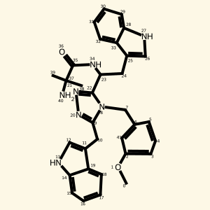 COc1cccc(Cn2c(Cc3c[nH]c4ccccc34)nnc2C(Cc2c[nH]c3ccccc23)NC(=O)C(C)(C)N)c1